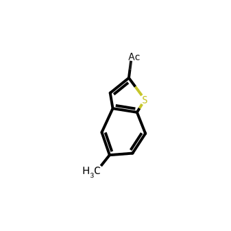 CC(=O)c1cc2cc(C)ccc2s1